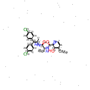 CC[C@H](C)[C@H](NC(=O)c1nccc(OC)c1O)C(=O)NC(C)=C(c1ccc(Cl)cc1)c1ccc(Cl)cc1